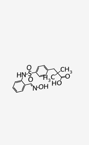 CC(C)(Cc1ccc(S(=O)(=O)Nc2ccccc2C=NO)cc1)C(=O)O